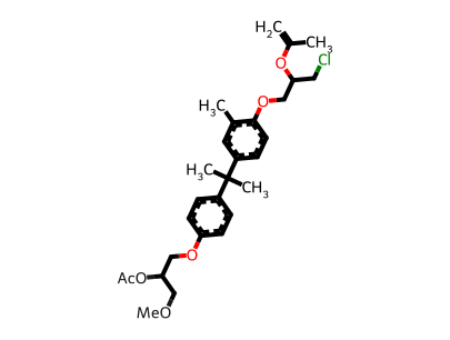 C=C(C)OC(CCl)COc1ccc(C(C)(C)c2ccc(OCC(COC)OC(C)=O)cc2)cc1C